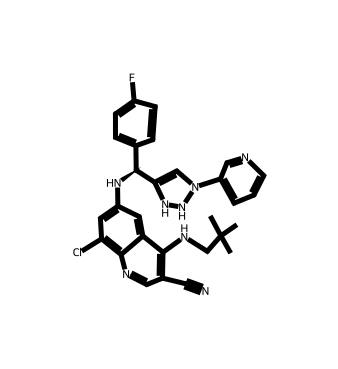 CC(C)(C)CNc1c(C#N)cnc2c(Cl)cc(N[C@H](C3=CN(c4cccnc4)NN3)c3ccc(F)cc3)cc12